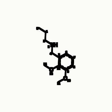 CCCNCc1cccc(OC)c1OC